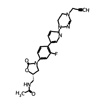 C#CCN1C=NN(c2ccc(-c3ccc(N4C[C@H](CNC(C)=O)OC4=O)cc3F)cn2)CC1